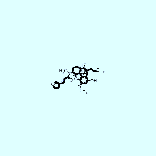 C=CCN1CC[C@]23c4c5c(O)cc(OC)c4O[C@H]2[C@H](N(C)C(=O)/C=C/c2ccoc2)CC[C@H]3[C@H]1C5